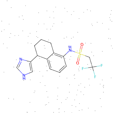 O=S(=O)(CC(F)(F)F)Nc1cccc2c1CCCC2c1c[nH]cn1